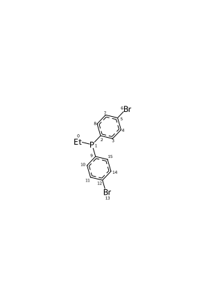 CCP(c1ccc(Br)cc1)c1ccc(Br)cc1